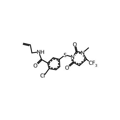 C=CCNC(=O)c1cc(Sn2c(=O)cc(C(F)(F)F)n(C)c2=O)ccc1Cl